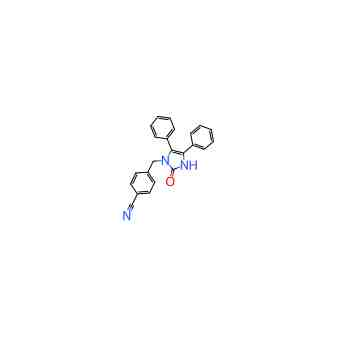 N#Cc1ccc(Cn2c(-c3ccccc3)c(-c3ccccc3)[nH]c2=O)cc1